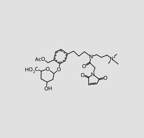 CC(=O)OCc1ccc(CCCN(CCC[N+](C)(C)C)C(=O)CN2C(=O)C=CC2=O)cc1OC1CC(O)CC(C(=O)O)O1